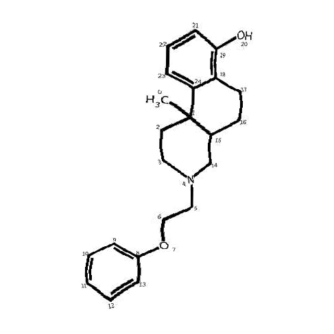 CC12CCN(CCOc3ccccc3)CC1CCc1c(O)cccc12